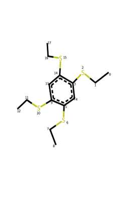 CCSc1[c]c(SCC)c(SCC)cc1SCC